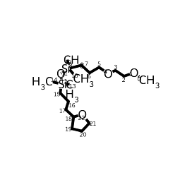 COCCOCCC[Si](C)(C)O[Si](C)(C)CCCC1CCCO1